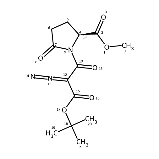 COC(=O)[C@@H]1CCC(=O)N1C(=O)C(=[N+]=[N-])C(=O)OC(C)(C)C